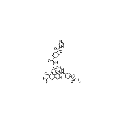 CC(O)(CNC(=O)c1ccc(S(=O)(=O)n2cncn2)cc1)Cn1c(=O)c(C(F)F)cc2cnc(NC3CCN(S(C)(=O)=O)CC3)nc21